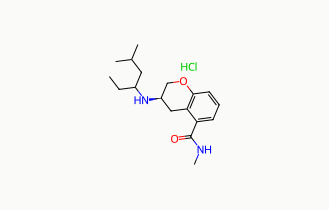 CCC(CC(C)C)N[C@H]1COc2cccc(C(=O)NC)c2C1.Cl